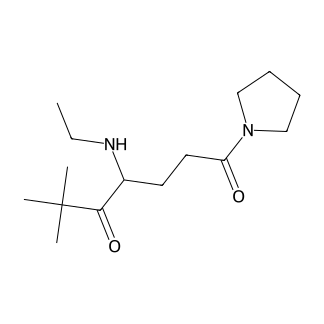 CCNC(CCC(=O)N1CCCC1)C(=O)C(C)(C)C